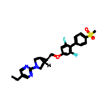 CCc1cnc(N2CC3[C@@H](COc4cc(F)c(-c5ccc(S(C)(=O)=O)cc5)c(F)c4)[C@@H]3C2)nc1